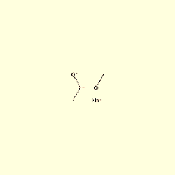 COC(C)[O-].[Na+]